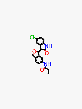 C=CC(=O)Nc1ccc2c(c1)C(=C1C(=O)Nc3ccc(Cl)cc31)OC2